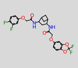 O=C(COc1ccc(F)c(F)c1)NC1CC(NC(=O)COc2ccc3c(c2)OC(F)(F)O3)C2CC1C2